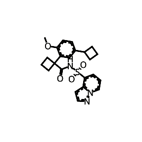 COc1ccc(C2CCC2)cc1C1(C(=O)NS(=O)(=O)c2cccn3nccc23)CCC1